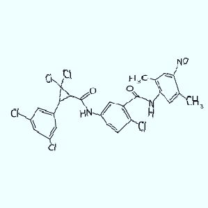 Cc1cc(NC(=O)c2cc(NC(=O)C3C(c4cc(Cl)cc(Cl)c4)C3(Cl)Cl)ccc2Cl)c(C)cc1N=O